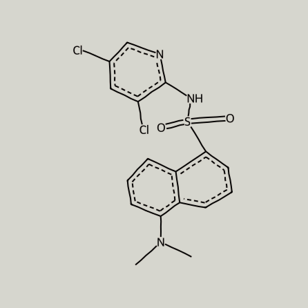 CN(C)c1cccc2c(S(=O)(=O)Nc3ncc(Cl)cc3Cl)cccc12